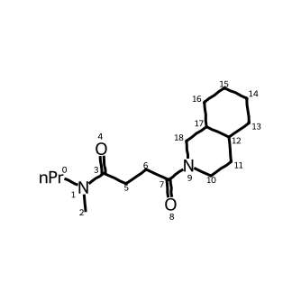 CCCN(C)C(=O)CCC(=O)N1CCC2CCCCC2C1